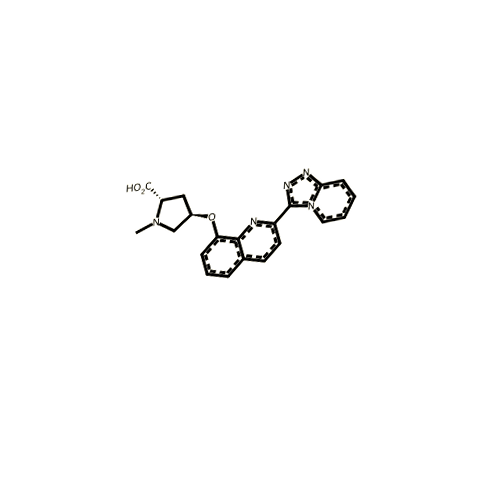 CN1C[C@H](Oc2cccc3ccc(-c4nnc5ccccn45)nc23)C[C@H]1C(=O)O